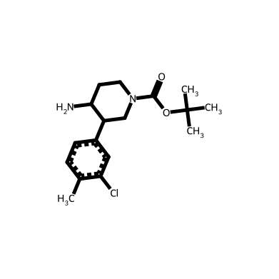 Cc1ccc(C2CN(C(=O)OC(C)(C)C)CCC2N)cc1Cl